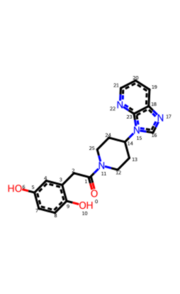 O=C(Cc1cc(O)ccc1O)N1CCC(n2cnc3cccnc32)CC1